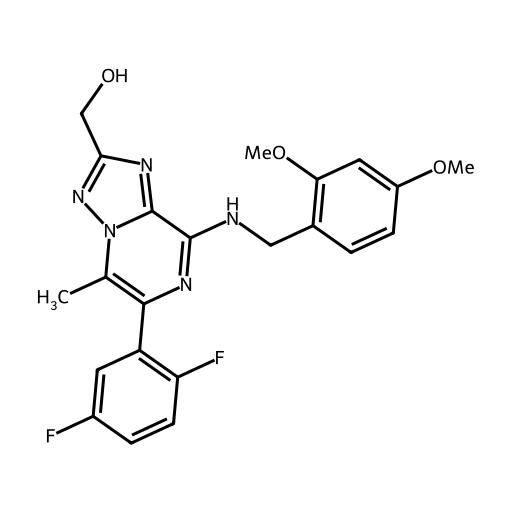 COc1ccc(CNc2nc(-c3cc(F)ccc3F)c(C)n3nc(CO)nc23)c(OC)c1